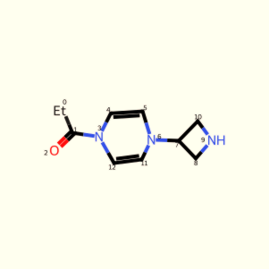 CCC(=O)N1C=CN(C2CNC2)C=C1